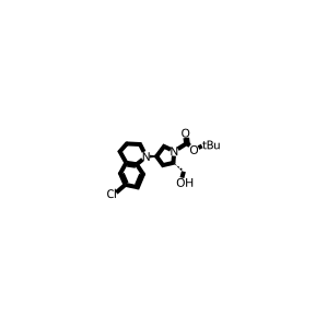 CC(C)(C)OC(=O)N1C[C@H](N2CCCc3cc(Cl)ccc32)C[C@H]1CO